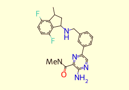 CNC(=O)c1nc(-c2cccc(CNC3CC(C)c4c(F)ccc(F)c43)c2)cnc1N